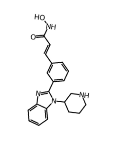 O=C(C=Cc1cccc(-c2nc3ccccc3n2C2CCCNC2)c1)NO